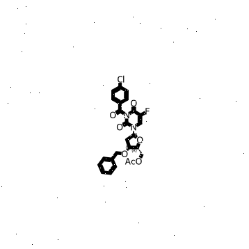 CC(=O)OC[C@H]1O[C@@H](n2cc(F)c(=O)n(C(=O)c3ccc(Cl)cc3)c2=O)C[C@@H]1OCc1ccccc1